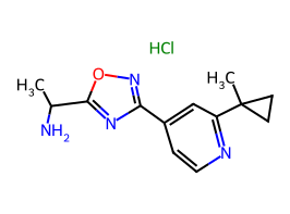 CC(N)c1nc(-c2ccnc(C3(C)CC3)c2)no1.Cl